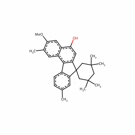 COc1cc2c(O)cc3c(c2cc1C)-c1ccc(C)cc1C31CC(C)(C)CC(C)(C)C1